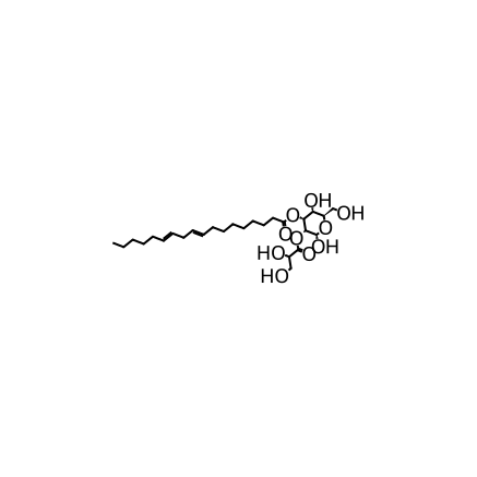 CCCCC/C=C/C/C=C/CCCCCCCC(=O)O[C@H]1[C@@H](O)[C@@H](CO)O[C@@H](O)[C@@H]1OC(=O)C(O)CO